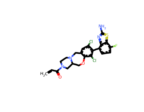 C=CC(=O)N1CCN2Cc3cc(Cl)c(-c4ccc(F)c5sc(N)nc45)c(Cl)c3OCC2C1